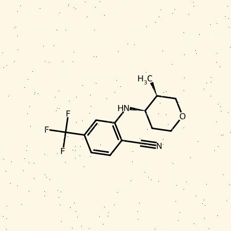 C[C@H]1COCC[C@H]1Nc1cc(C(F)(F)F)ccc1C#N